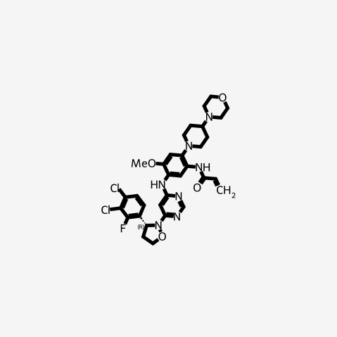 C=CC(=O)Nc1cc(Nc2cc(N3OCC[C@@H]3c3ccc(Cl)c(Cl)c3F)ncn2)c(OC)cc1N1CCC(N2CCOCC2)CC1